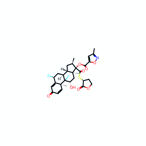 Cc1cc(C(=O)O[C@]2(C(=O)S[C@H]3CCOC3=O)[C@H](C)C[C@H]3[C@@H]4C[C@H](F)C5=CC(=O)C=C[C@]5(C)[C@@]4(F)[C@@H](O)C[C@@]32C)on1